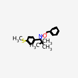 CSc1ccc(C(=NOCc2ccccc2)C(C)(C)C)cc1